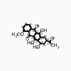 COc1cccc2c1C(=O)c1c(O)c3c(c(O)c1C2=O)CC(C(C)=O)CC3O